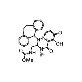 COC(=O)NCC1N(C(C)C)C(=O)c2c(O)c(=O)ccn2N1C1c2ccccc2CCc2ccccc21